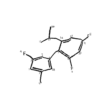 Cc1cc(F)cc(-c2c(F)cc(F)cc2C(C)C)c1